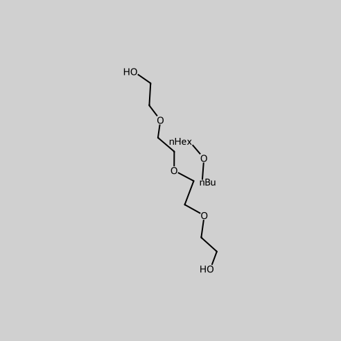 CCCCCCOCCCC.OCCOCCOCCOCCO